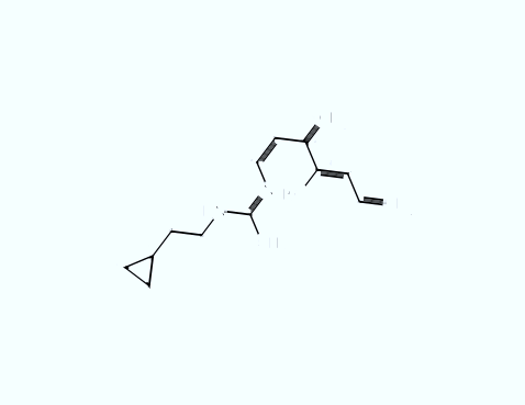 C=C/C=C(\C)C(=C)/C=C\N=C(\C)NCCC1CC1